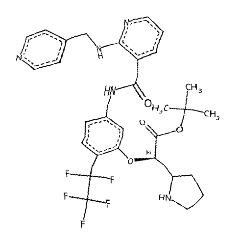 CC(C)(C)OC(=O)[C@H](Oc1cc(NC(=O)c2cccnc2NCc2ccncc2)ccc1C(F)(F)C(F)(F)F)C1CCCN1